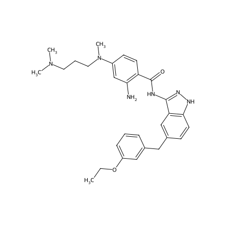 CCOc1cccc(Cc2ccc3[nH]nc(NC(=O)c4ccc(N(C)CCCN(C)C)cc4N)c3c2)c1